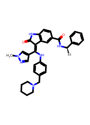 CC[C@@H](NC(=O)c1ccc2c(c1)C(=C(Nc1ccc(CN3CCCCC3)cc1)c1cnn(C)c1)C(=O)N2)c1ccccc1